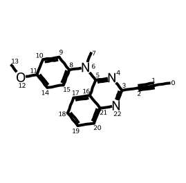 CC#Cc1nc(N(C)c2ccc(OC)cc2)c2ccccc2n1